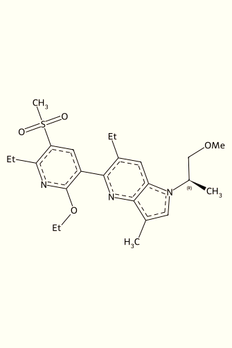 CCOc1nc(CC)c(S(C)(=O)=O)cc1-c1nc2c(C)cn([C@H](C)COC)c2cc1CC